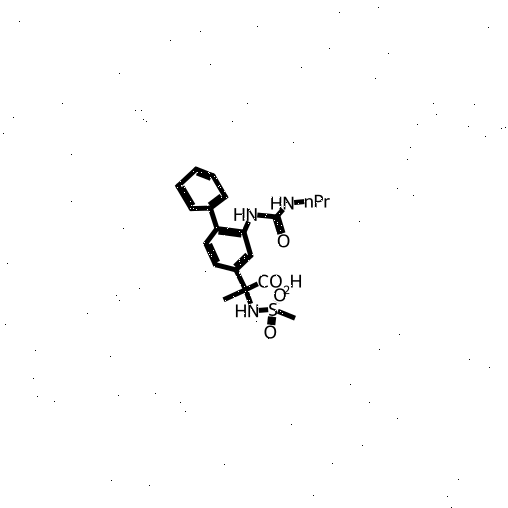 CCCNC(=O)Nc1cc(C(C)(NS(C)(=O)=O)C(=O)O)ccc1-c1ccccc1